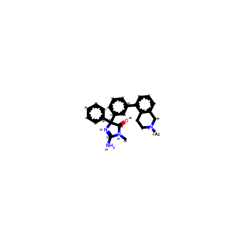 CC(=O)N1CCc2c(cccc2-c2cccc(C3(c4ccccc4)N=C(N)N(C)C3=O)c2)C1